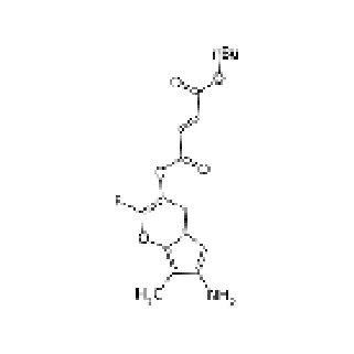 CCCCOC(=O)/C=C/C(=O)Oc1cc2cc(N)c(C)c-2oc1F